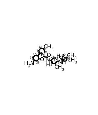 Cc1cc(NC(=O)C(=O)N2CC(C)CCC2C2CCC(N)CC2)cnc1NC(=O)OC(C)(C)C